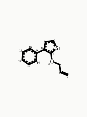 C=CCOc1sccc1-c1ccccc1